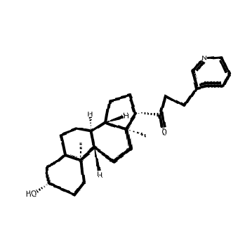 C[C@]12CC[C@H]3[C@@H](CCC4C[C@@H](O)CC[C@@]43C)[C@@H]1CC[C@@H]2C(=O)CCc1cccnc1